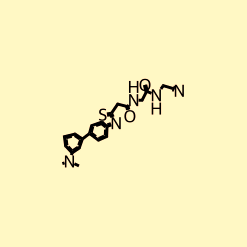 CN(C)c1cccc(-c2ccc3nc(CC(=O)NCC(=O)NCC#N)sc3c2)c1